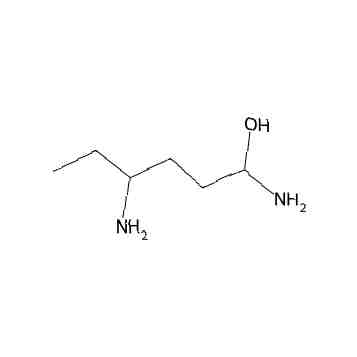 CCC(N)CCC(N)O